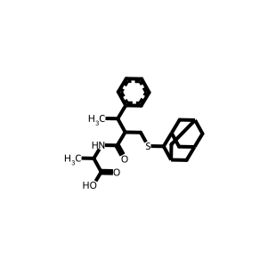 CC(NC(=O)C(CSC1C2CC3CC(C2)CC1C3)C(C)c1ccccc1)C(=O)O